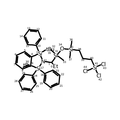 CCC(N([Si](c1ccccc1)(c1ccccc1)C(C)(C)C)[Si](c1ccccc1)(c1ccccc1)C(C)(C)C)[Si](C)(C)O[Si](C)(C)CCC[Si](Cl)(Cl)Cl